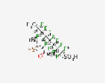 CC(C)(C)C(=O)CC(S)C(C)(C)C.O=S(=O)(O)C(F)(F)C(F)(F)C(F)(F)C(F)(F)C(F)(F)C(F)(F)C(F)(F)C(F)(F)F